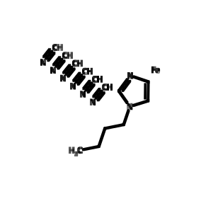 C#N.C#N.C#N.C#N.C#N.C#N.CCCCn1ccnc1.[Fe]